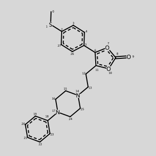 CSc1ccc(-c2oc(=O)oc2CCN2CCN(c3ccccc3)CC2)cc1